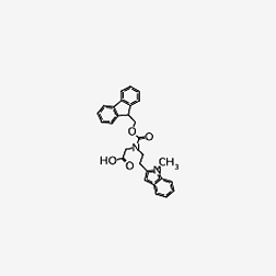 Cn1c(CCN(CC(=O)O)C(=O)OCC2c3ccccc3-c3ccccc32)cc2ccccc21